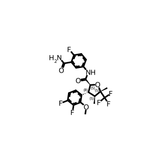 COc1c([C@@H]2[C@@H](C(=O)Nc3ccc(F)c(C(N)=O)c3)O[C@](C)(C(F)(F)F)[C@H]2C)ccc(F)c1F